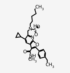 CCCCCCN(Cc1nc2oc(-c3ccc(CC)cc3)c(C(=O)NC)c2cc1C1CC1)[SH](=O)=O